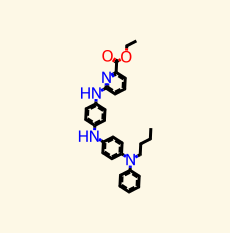 CCCCN(c1ccccc1)c1ccc(Nc2ccc(Nc3cccc(C(=O)OCC)n3)cc2)cc1